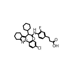 O=C(O)CCc1ccc(NC(=O)C(c2c3c(nn2-c2ccc(Cl)cc2)CCCC3)C2CCCCC2)c(F)c1